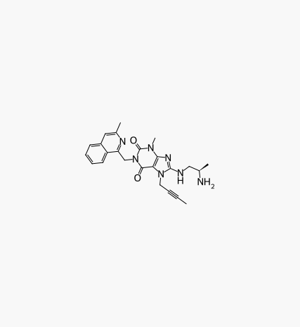 CC#CCn1c(NC[C@@H](C)N)nc2c1c(=O)n(Cc1nc(C)cc3ccccc13)c(=O)n2C